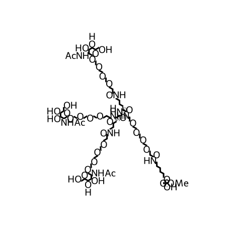 COP(=O)(O)OCCCCCCNC(=O)CCOCCOCCOCCOCCNC(=O)[C@H](CCCCNC(=O)CCOCCOCCOCCOC1OC(CO)C(O)C(O)C1NC(C)=O)NC(=O)[C@H](CCCCNC(=O)CCOCCOCCOCCOC1OC(CO)C(O)C(O)C1NC(C)=O)NC(=O)CCOCCOCCOCCOC1OC(CO)C(O)C(O)C1NC(C)=O